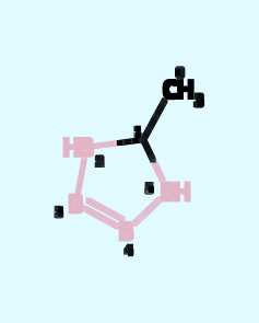 CC1BB=BB1